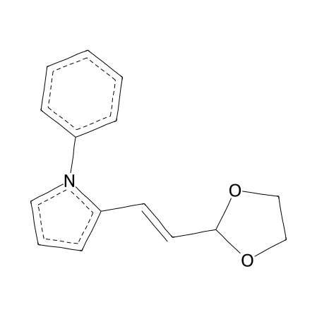 C(=C\C1OCCO1)/c1cccn1-c1ccccc1